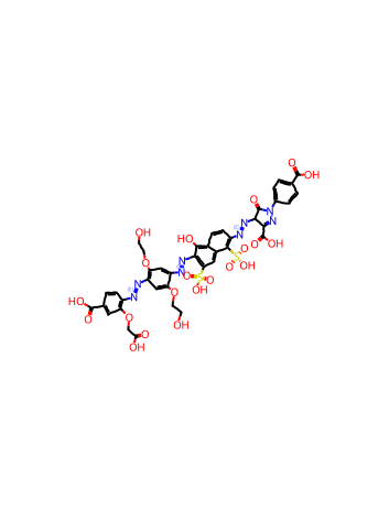 O=C(O)COc1cc(C(=O)O)ccc1/N=N/c1cc(OCCO)c(/N=N/c2c(S(=O)(=O)O)cc3c(S(=O)(=O)O)c(/N=N/C4C(=O)N(c5ccc(C(=O)O)cc5)N=C4C(=O)O)ccc3c2O)cc1OCCO